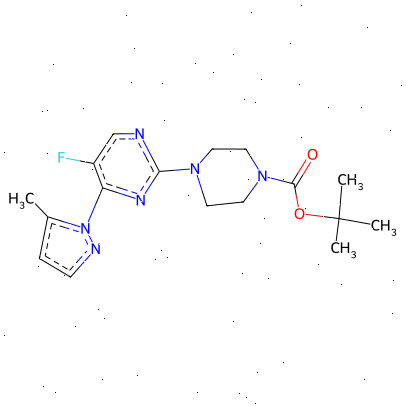 Cc1ccnn1-c1nc(N2CCN(C(=O)OC(C)(C)C)CC2)ncc1F